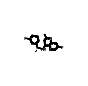 Cc1cc(N[C@H](C)c2cccc(F)c2)c2ncc(F)cc2n1